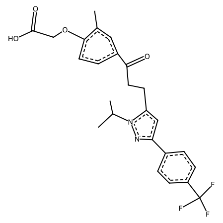 Cc1cc(C(=O)CCc2cc(-c3ccc(C(F)(F)F)cc3)nn2C(C)C)ccc1OCC(=O)O